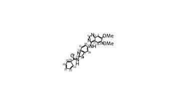 COc1cc2ncnc(Nc3ccc4nc(NC(=O)c5ccccc5)sc4c3)c2cc1OC